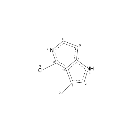 Cc1c[nH]c2ccnc(Cl)c12